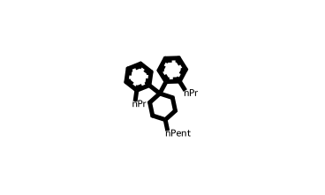 CCCCCC1CCC(c2ccccc2CCC)(c2ccccc2CCC)CC1